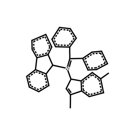 CC1=C[CH]([Zr](=[C](c2ccccc2)c2ccccc2)[CH]2c3ccccc3-c3ccccc32)c2cc(C)ccc21